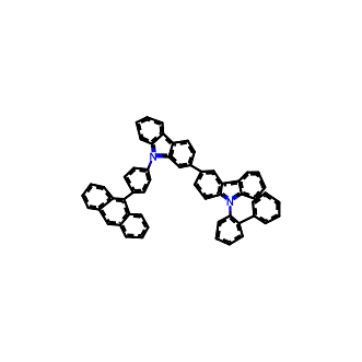 c1ccc(-c2ccccc2-n2c3ccccc3c3cc(-c4ccc5c6ccccc6n(-c6ccc(-c7c8ccccc8cc8ccccc78)cc6)c5c4)ccc32)cc1